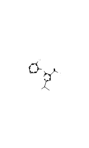 CC(C)c1cc(C(=O)O)c(Sc2ccccc2N)s1